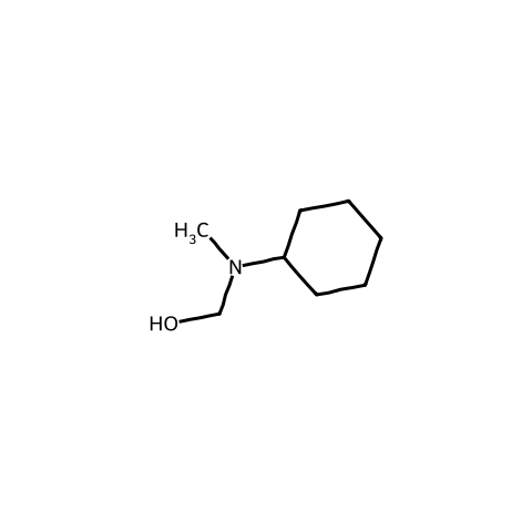 CN(CO)C1CCCCC1